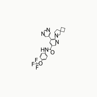 O=C(Nc1ccc(OC(F)(F)F)cc1)c1cnc(N2CCC3(CCC3)C2)c(-c2cncnc2)c1